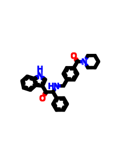 O=C(c1c[nH]c2ccccc12)C(NCc1ccc(C(=O)N2CCCCC2)cc1)c1ccccc1